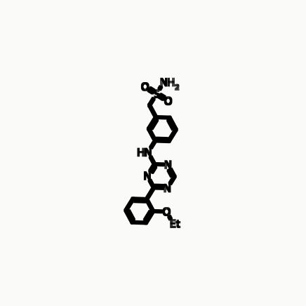 CCOc1ccccc1-c1ncnc(Nc2cccc(CS(N)(=O)=O)c2)n1